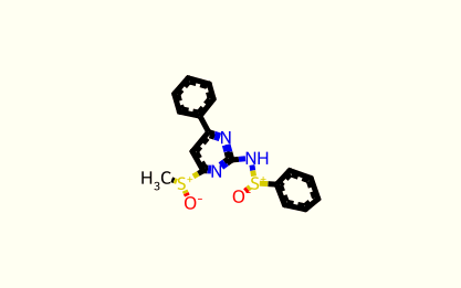 C[S+]([O-])c1cc(-c2ccccc2)nc(N[S+]([O-])c2ccccc2)n1